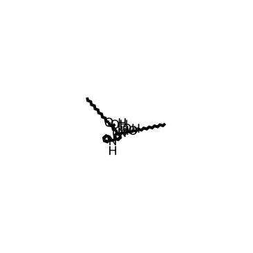 CCCCCCCCCCCCOCC(O)CNc1ccc(Nc2ccccc2)cc1NCC(O)COCCCCCCCCCCCC